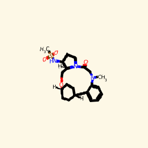 CN1CC(=O)N2CCC(NS(C)(=O)=O)[C@@H]2CO[C@H]2CC[C@H](CC2)c2ccccc21